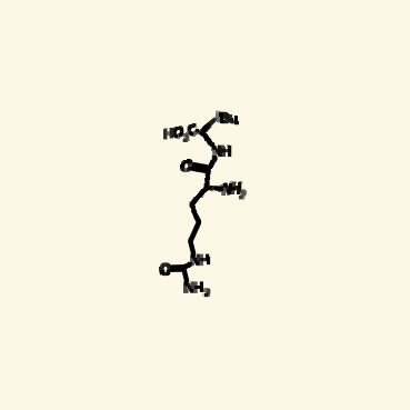 CC[C@H](C)[C@H](NC(=O)[C@@H](N)CCCNC(N)=O)C(=O)O